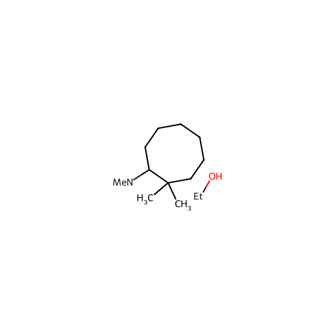 CCO.CNC1CCCCCCC1(C)C